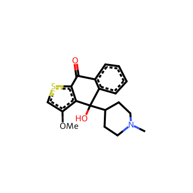 COc1csc2c1C(O)(C1CCN(C)CC1)c1ccccc1C2=O